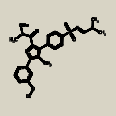 CCOc1cccc(-c2sc(C(=O)N(C)OC)c(-c3ccc(S(=O)(=O)N=CN(C)C)cc3)c2C)c1